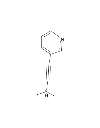 C[SH](C)C#Cc1cccnc1